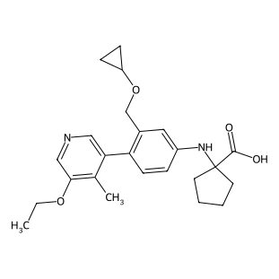 CCOc1cncc(-c2ccc(NC3(C(=O)O)CCCC3)cc2COC2CC2)c1C